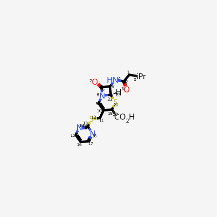 CC(C)CC(=O)NC1C(=O)N2C=C(CSc3ncccn3)C(C(=O)O)S[C@H]12